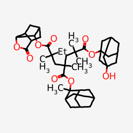 CCC(C)(CC(C)(CC(C)(C)C(=O)OC12CC3CC(CC(O)(C3)C1)C2)C(=O)OC1(C)C2CC3CC(C2)CC1C3)C(=O)OC1C2CC3C(=O)OC1C3C2